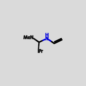 C=CNC(NC)C(C)C